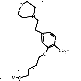 COCCCCOc1cc(CCN2CCOCC2)ccc1C(=O)O